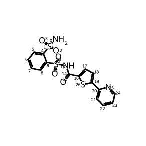 NS(=O)(=O)c1ccccc1S(=O)(=O)NC(=O)c1ccc(-c2ccccn2)s1